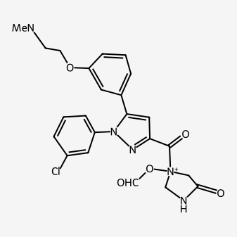 CNCCOc1cccc(-c2cc(C(=O)[N+]3(OC=O)CNC(=O)C3)nn2-c2cccc(Cl)c2)c1